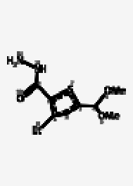 CCc1cc(C(OC)OC)sc1C(=O)NN